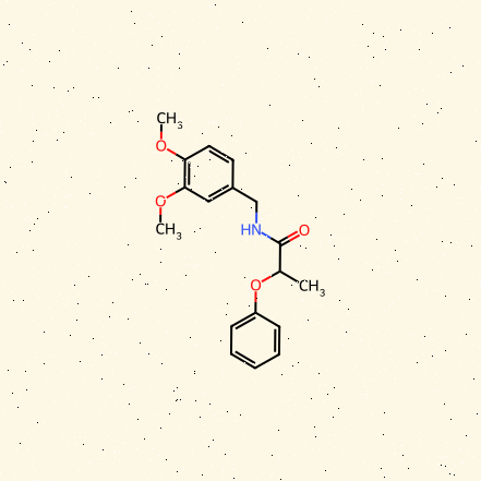 COc1ccc(CNC(=O)C(C)Oc2ccccc2)cc1OC